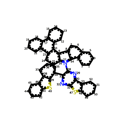 c1ccc2c(c1)ccc1c3c4c5ccccc5c5ccccc5c4ccc3n(-c3nc4c(nc3-c3cccc5c3sc3ccccc35)sc3ccccc34)c21